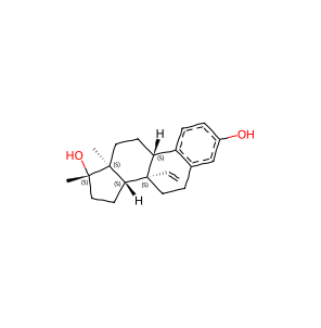 C=C[C@@]12CCc3cc(O)ccc3[C@H]1CC[C@@]1(C)[C@H]2CC[C@]1(C)O